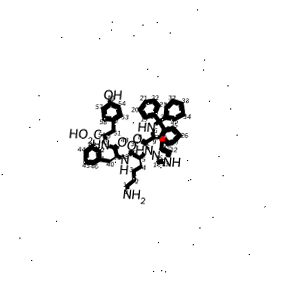 NCCCC[C@H](NC(=O)[C@H](Cc1c[nH]cn1)NC(c1ccccc1)(c1ccccc1)c1ccccc1)C(=O)N[C@@H](Cc1ccccc1)C(=O)N[C@@H](Cc1ccc(O)cc1)C(=O)O